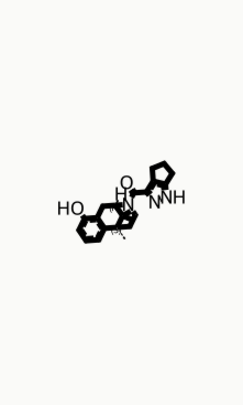 CC1(C)[C@H]2Cc3c(O)cccc3[C@]1(C)CCN2C(=O)c1n[nH]c2c1CCC2